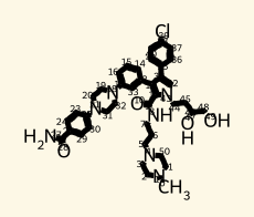 CN1CCN(CCCNC(=O)c2c(-c3cccc(N4CCN(c5ccc(C(N)=O)cc5)CC4)c3)c(-c3ccc(Cl)cc3)cn2CC[C@H](O)CO)CC1